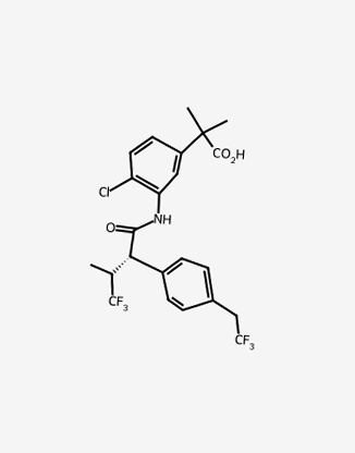 CC([C@H](C(=O)Nc1cc(C(C)(C)C(=O)O)ccc1Cl)c1ccc(CC(F)(F)F)cc1)C(F)(F)F